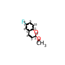 COC1C=Cc2cc(F)ccc2O1